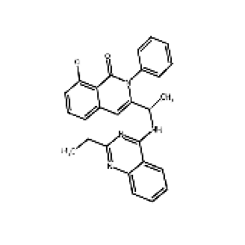 CCc1nc(N[C@@H](C)c2cc3cccc(Cl)c3c(=O)n2-c2ccccc2)c2ccccc2n1